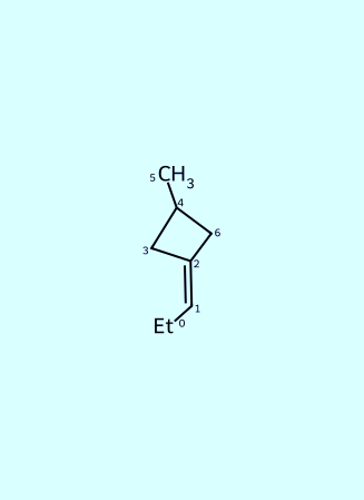 CCC=C1CC(C)C1